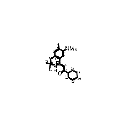 CNc1cc2c(cc1C)CC(C)(C)NC2=CC(=O)C1CCCCC1